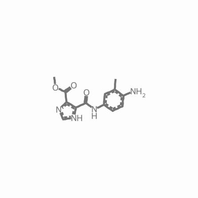 COC(=O)c1nc[nH]c1C(=O)Nc1ccc(N)c(C)c1